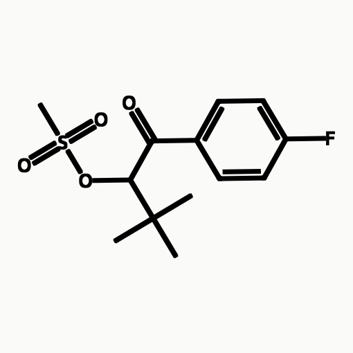 CC(C)(C)C(OS(C)(=O)=O)C(=O)c1ccc(F)cc1